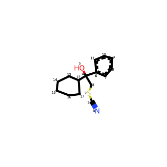 N#CSCC(O)(c1ccccc1)C1CCCCC1